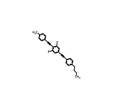 CCCCc1ccc(C#Cc2cc(F)c(C#Cc3ccc(C)cc3)c(F)c2)cc1